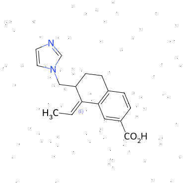 C/C=C1/c2cc(C(=O)O)ccc2CCC1Cn1ccnc1